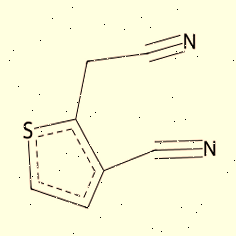 N#CCc1sccc1C#N